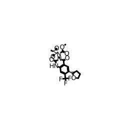 COC(=O)N(n1c(=O)[nH]c2cc(C(F)(F)F)c([C@H]3CCCO3)cc2c1=O)S(C)(=O)=O